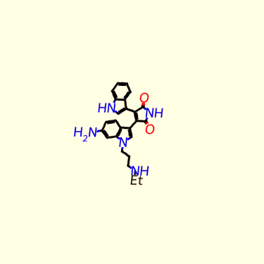 CCNCCCn1cc(C2=C(c3c[nH]c4ccccc34)C(=O)NC2=O)c2ccc(N)cc21